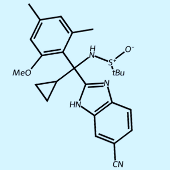 COc1cc(C)cc(C)c1C(N[S+]([O-])C(C)(C)C)(c1nc2ccc(C#N)cc2[nH]1)C1CC1